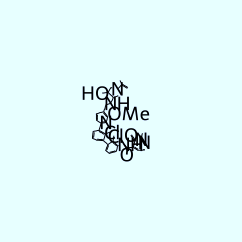 C=C(C)N1CC(O)C(NCc2ccc(-c3cccc(-c4cccc(NC(=O)c5ccnn(C)c5=O)c4Cl)c3Cl)nc2OC)C1